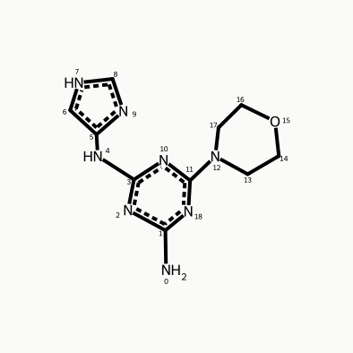 Nc1nc(Nc2c[nH]cn2)nc(N2CCOCC2)n1